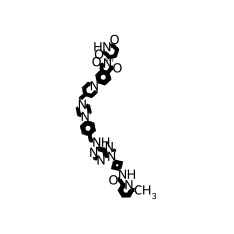 Cc1cccc(C(=O)NC2CC(n3cnc4c(NCc5ccc(N6CCN(CC7CCN(c8ccc9c(c8)C(=O)N([C@H]8CCC(=O)NC8=O)C9=O)CC7)CC6)cc5)ncnc43)C2)n1